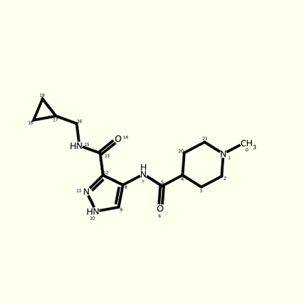 CN1CCC(C(=O)Nc2c[nH]nc2C(=O)NCC2CC2)CC1